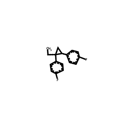 C[CH]C1(c2ccc(F)cc2)CC1c1ccc(F)cc1